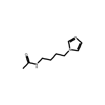 CC(=O)NCCCCn1ccnc1